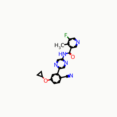 Cc1c(F)cncc1C(=O)Nc1cnc(-c2cc(OC3CC3)ccc2C#N)cn1